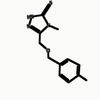 Cc1ccc(COCc2n[nH]c(=S)n2C)cc1